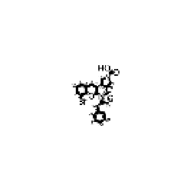 O=C(O)N1CC[C@@H](C(Cc2cccc(Br)c2)C(=O)N2C(=O)OC[C@H]2Cc2ccccc2)C1